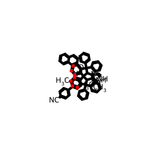 Cc1[nH]cnc1C(C(c1ccccc1)(c1ccccc1)c1ccccc1)C1(C(c2nc[nH]c2C)C(c2ccccc2)(c2ccccc2)c2ccccc2)C(=O)N(Cc2cccc3ccccc23)c2c1ccc(-c1ccc(C#N)cc1)c2C